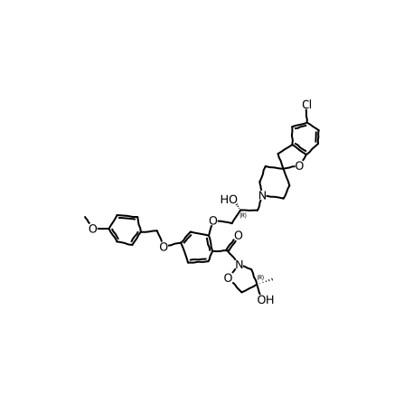 COc1ccc(COc2ccc(C(=O)N3C[C@@](C)(O)CO3)c(OC[C@H](O)CN3CCC4(CC3)Cc3cc(Cl)ccc3O4)c2)cc1